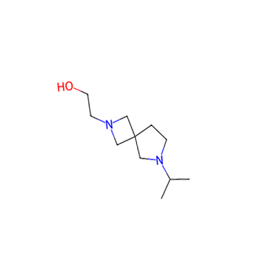 CC(C)N1CCC2(CN(CCO)C2)C1